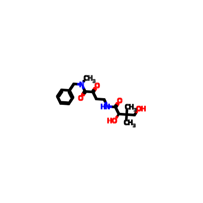 CN(Cc1ccccc1)C(=O)C(=O)CCNC(=O)[C@H](O)C(C)(C)CO